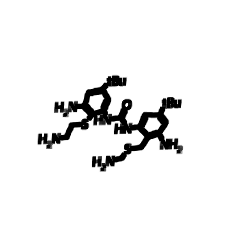 CC(C)(C)c1cc(N)c(CSCN)c(NC(=O)Nc2cc(C(C)(C)C)cc(N)c2SCCN)c1